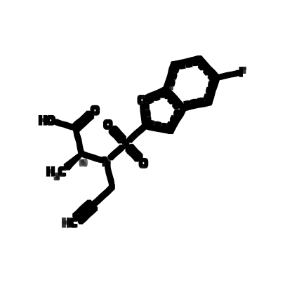 C#CCN([C@@H](C)C(=O)O)S(=O)(=O)c1cc2cc(F)ccc2o1